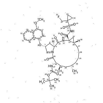 COc1cnc(O[C@@H]2C[C@H]3C(=O)N[C@]4(C(=O)NS(=O)(=O)C5(CF)CC5)C[C@@H]4CCCC[C@H](C)C[C@@H](C)[C@H](NC(=O)OC(C)(C)C)C(=O)N3C2)c2ccccc12